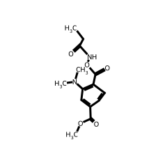 CCC(=O)NOC(=O)c1ccc(C(=O)OC)cc1N(C)C